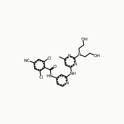 Cc1cc(Nc2cc(NC(=O)c3c(Cl)cc(C#N)cc3Cl)ccn2)nc(N(CCO)CCO)n1